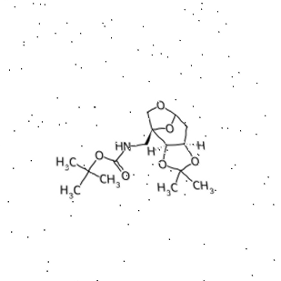 CC(C)(C)OC(=O)NC[C@]12COC(C[C@H]3OC(C)(C)O[C@H]31)O2